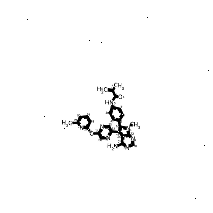 C=C(C)C(=O)Nc1ccc(-c2c(-c3cnc(Oc4cccc(C)n4)cn3)c3c(N)ncnc3n2C)cc1